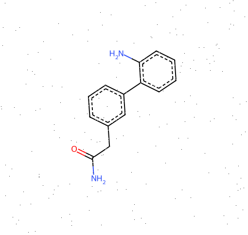 NC(=O)Cc1cccc(-c2ccccc2N)c1